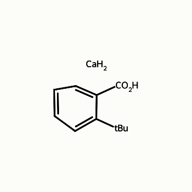 CC(C)(C)c1ccccc1C(=O)O.[CaH2]